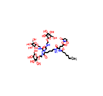 CCCCCCCCCCCCCCCC(=O)NC(CCC(=O)ON1C(=O)CCC1=O)C(=O)NCCCCC(C(=O)NCCO[C@@H]1O[C@@H](CO)[C@H](O)[C@@H](O)[C@H]1O)N(CC(=O)NCCO[C@H]1O[C@H](CO)[C@@H](O)[C@H](O)[C@@H]1O)CC(=O)NCCO[C@@H]1O[C@@H](CO)[C@H](O)[C@@H](O)[C@H]1O